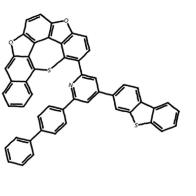 c1ccc(-c2ccc(-c3cc(-c4ccc5c(c4)sc4ccccc45)cc(-c4ccc5oc6ccc7oc8cc9ccccc9c9sc4c5c6c7c89)n3)cc2)cc1